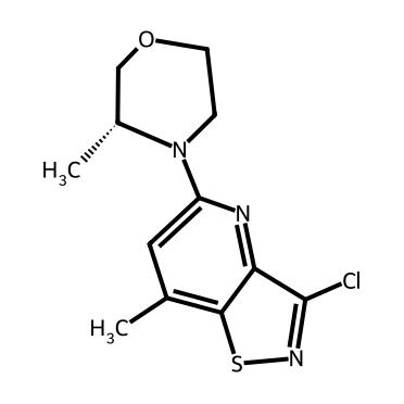 Cc1cc(N2CCOC[C@H]2C)nc2c(Cl)nsc12